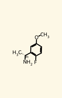 COc1ccc(F)c([C@@H](C)N)c1